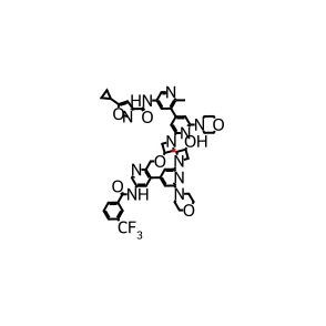 Cc1ncc(NC(=O)c2cc(C3CC3)on2)cc1-c1cc(N2CCOCC2)nc(N2CC(OCc3ncc(NC(=O)c4cccc(C(F)(F)F)c4)cc3-c3cc(N4CCOCC4)nc(N4CC(O)C4)c3)C2)c1